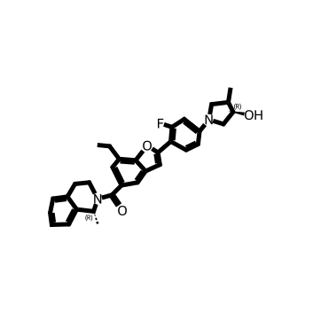 CCc1cc(C(=O)N2CCc3ccccc3[C@H]2C)cc2cc(-c3ccc(N4CC(C)[C@@H](O)C4)cc3F)oc12